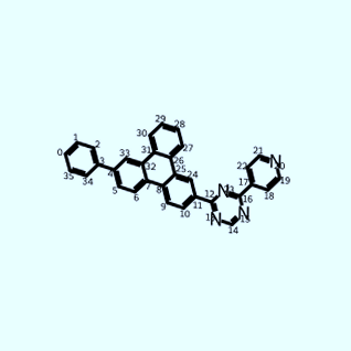 c1ccc(-c2ccc3c4ccc(-c5ncnc(-c6ccncc6)n5)cc4c4ccccc4c3c2)cc1